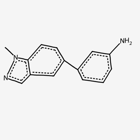 Cn1ncc2cc(-c3cccc(N)c3)ccc21